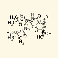 CC(C)(C)OC(=O)N(Cc1n[nH]c(=O)c2c(C#N)cc(B(O)O)cc12)C(=O)OC(C)(C)C